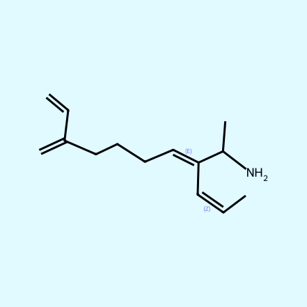 C=CC(=C)CCC/C=C(\C=C/C)C(C)N